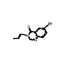 C/C=C/n1cnc2ccc(Br)cc2c1=O